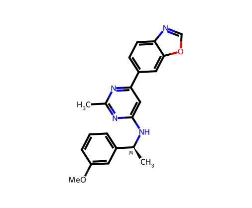 COc1cccc([C@H](C)Nc2cc(-c3ccc4ncoc4c3)nc(C)n2)c1